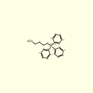 CC(=O)OCCCC[PH](c1ccccc1)(c1ccccc1)c1ccccc1